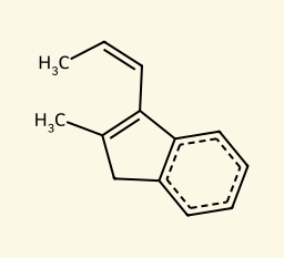 C/C=C\C1=C(C)Cc2ccccc21